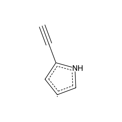 C#Cc1c[c]c[nH]1